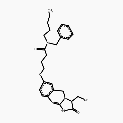 CCCCCN(Cc1ccccc1)C(=O)CCCOc1ccc2c(c1)CN1C(=N2)NC(=O)C1CO